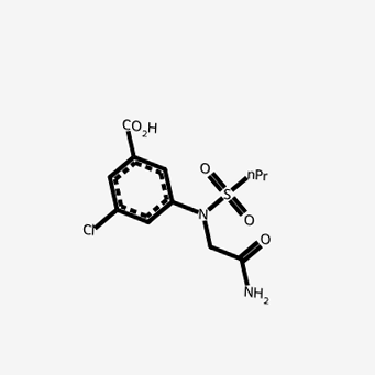 CCCS(=O)(=O)N(CC(N)=O)c1cc(Cl)cc(C(=O)O)c1